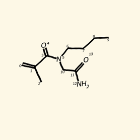 C=C(C)C(=O)N(CCCC)CC(N)=O